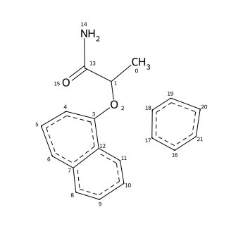 CC(Oc1cccc2ccccc12)C(N)=O.c1ccccc1